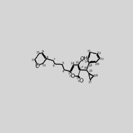 O=c1oc(CCCCC2=CCCOC2)cc(O)c1C(c1ccccc1)C1CC1